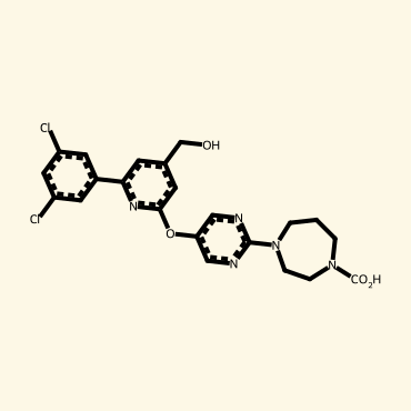 O=C(O)N1CCCN(c2ncc(Oc3cc(CO)cc(-c4cc(Cl)cc(Cl)c4)n3)cn2)CC1